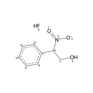 F.O=[N+]([O-])C(CO)c1ccccc1